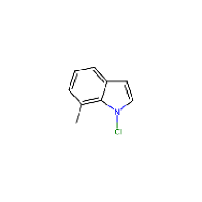 Cc1cccc2ccn(Cl)c12